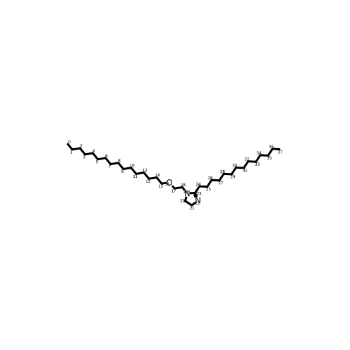 CCCCCCCCCCCCCCCCOCCN1CCN=C1CCCCCCCCCCCCCC